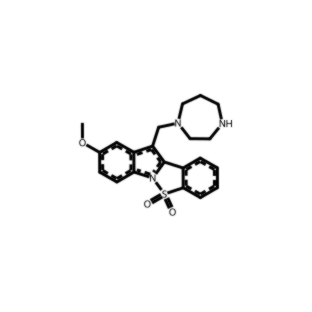 COc1ccc2c(c1)c(CN1CCCNCC1)c1n2S(=O)(=O)c2ccccc2-1